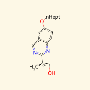 CCCCCCCOc1ccc2nc([C@H](C)CO)ncc2c1